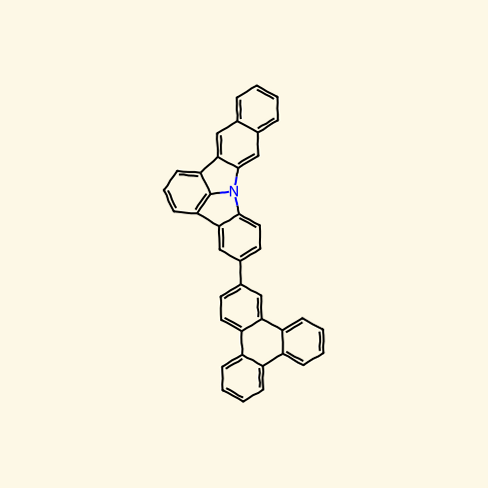 c1ccc2cc3c(cc2c1)c1cccc2c4cc(-c5ccc6c7ccccc7c7ccccc7c6c5)ccc4n3c21